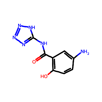 Nc1ccc(O)c(C(=O)Nc2nnn[nH]2)c1